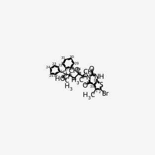 Cc1c(Br)sc2[nH]c(=O)n(C(C)(C)C(=O)CC(C)(C)[Si](O)(c3ccccc3)c3ccccc3)c(=O)c12